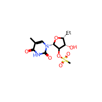 CC[C@H]1O[C@@H](n2cc(C)c(=O)[nH]c2=O)C(OS(C)(=O)=O)[C@H]1O